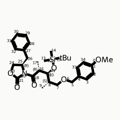 COc1ccc(COC[C@H](C)[C@H](O[Si](C)(C)C(C)(C)C)[C@@H](C)C(=O)N2C(=O)OC[C@H]2Cc2ccccc2)cc1